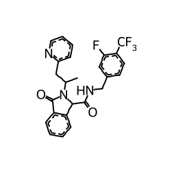 CC(Cc1ccccn1)N1C(=O)c2ccccc2C1C(=O)NCc1ccc(C(F)(F)F)c(F)c1